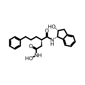 O=C(C[C@@H](CCCc1ccccc1)C(=O)N[C@H]1c2ccccc2C[C@H]1O)NO